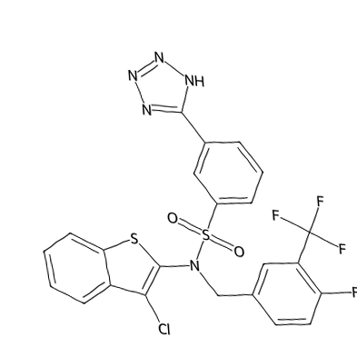 O=S(=O)(c1cccc(-c2nnn[nH]2)c1)N(Cc1ccc(F)c(C(F)(F)F)c1)c1sc2ccccc2c1Cl